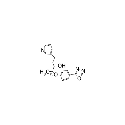 C[C@H](Oc1ccc(-c2nnco2)cc1)C(O)CCc1cccnc1